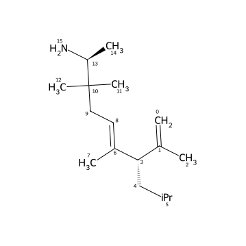 C=C(C)[C@H](CC(C)C)/C(C)=C/CC(C)(C)[C@H](C)N